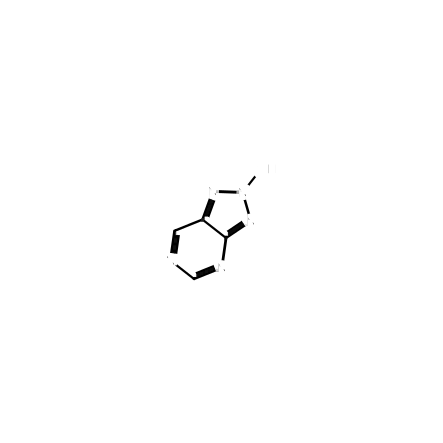 On1nc2cncnc2n1